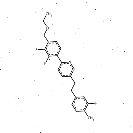 CCOCc1ccc(-c2ccc(CCc3ccc(C)c(F)c3)cn2)c(F)c1F